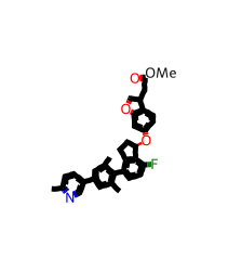 COC(=O)CC1COc2cc(O[C@@H]3CCc4c(-c5c(C)cc(-c6ccc(C)nc6)cc5C)ccc(F)c43)ccc21